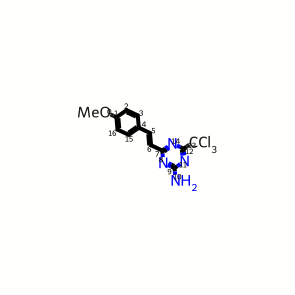 COc1ccc(C=Cc2nc(N)nc(C(Cl)(Cl)Cl)n2)cc1